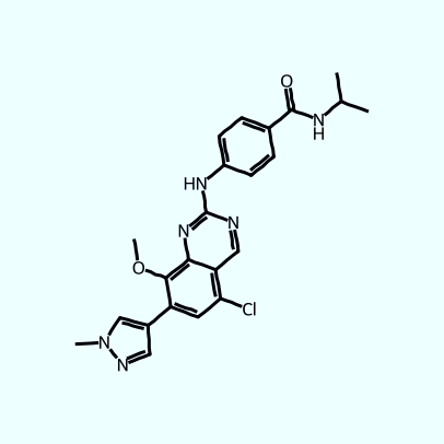 COc1c(-c2cnn(C)c2)cc(Cl)c2cnc(Nc3ccc(C(=O)NC(C)C)cc3)nc12